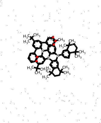 CC(C)c1cc2c3c(c1)N(c1c(-c4ccccc4)cc(C(C)(C)C)cc1-c1ccccc1)c1ccc(C(C)(C)C)cc1B3c1cc3c(cc1N2c1ccc2c(c1)C(C)(C)CCC2(C)C)C(C)(C)CCC3(C)C